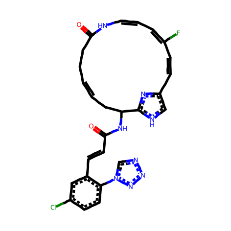 O=C(C=Cc1cc(Cl)ccc1-n1cnnn1)NC1CC=CCCC(=O)NC=CC=C(F)C=Cc2c[nH]c1n2